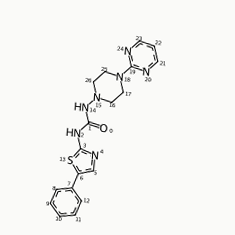 O=C(Nc1ncc(-c2ccccc2)s1)NN1CCN(c2ncccn2)CC1